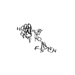 C#C[C@@H]1CN(C(=O)[C@H](CC(C)C)NC(=O)c2ccc(-c3nc(N4CCN(C)CC4)sc3F)cc2)[C@H]2[C@@H]1OCC2(O)O